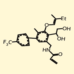 C=CC(=O)NCc1cc(-c2ccc(C(F)(F)F)cc2)c(C)c(O/C=C(\C)CC)c1C(O)CO